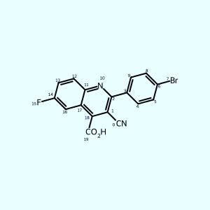 N#Cc1c(-c2ccc(Br)cc2)nc2ccc(F)cc2c1C(=O)O